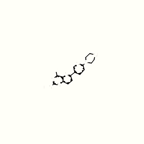 CCCc1nc(N)nc2ccc(-c3ccc(N4CCNCC4)nc3)nc12